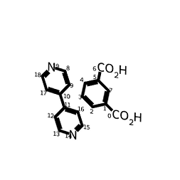 O=C(O)c1cccc(C(=O)O)c1.c1cc(-c2ccncc2)ccn1